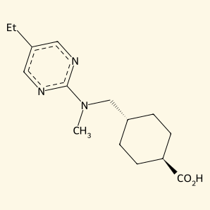 CCc1cnc(N(C)C[C@H]2CC[C@H](C(=O)O)CC2)nc1